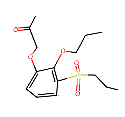 CCCOc1c(S(=O)(=O)CCC)[c]ccc1OCC(C)=O